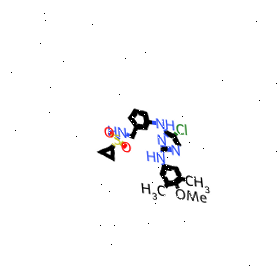 COc1c(C)cc(Nc2ncc(Cl)c(Nc3cccc(CNS(=O)(=O)C4CC4)c3)n2)cc1C